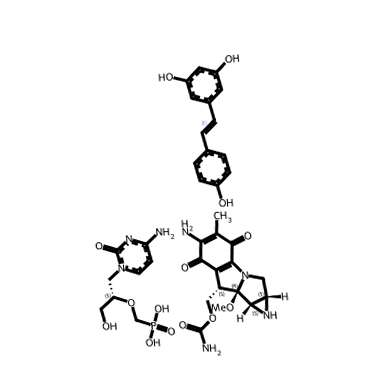 CO[C@@]12[C@H](COC(N)=O)C3=C(C(=O)C(C)=C(N)C3=O)N1C[C@@H]1N[C@@H]12.Nc1ccn(C[C@@H](CO)OCP(=O)(O)O)c(=O)n1.Oc1ccc(/C=C/c2cc(O)cc(O)c2)cc1